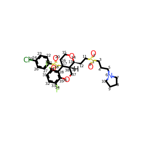 O=S(=O)(CCCN1CCCC1)CC[C@@H]1OCC[C@@]2(S(=O)(=O)c3ccc(Cl)cc3)c3c(F)ccc(F)c3OC[C@@H]12